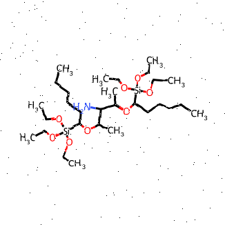 CCCCCC(OC(C)C(N)C(C)OC(CCCCC)[Si](OCC)(OCC)OCC)[Si](OCC)(OCC)OCC